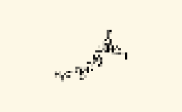 C=CCOC(=O)N1CCC(c2nc(C(=O)Nc3ccc(F)cc3-c3ccc(Cl)cc3)cs2)CC1